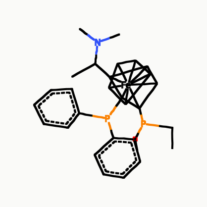 CCP(CC)[C]12[CH]3[CH]4[C]5(C(C)N(C)C)[C]1(P(c1ccccc1)c1ccccc1)[Fe]43521678[CH]2[CH]1[CH]6[CH]7[CH]28